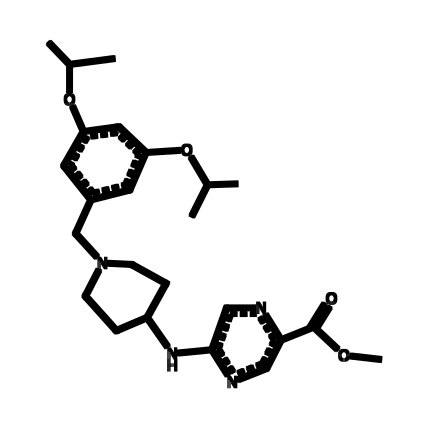 COC(=O)c1cnc(NC2CCN(Cc3cc(OC(C)C)cc(OC(C)C)c3)CC2)cn1